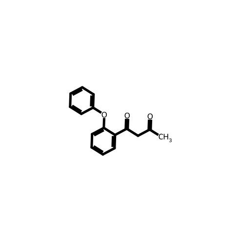 CC(=O)CC(=O)c1ccccc1Oc1ccccc1